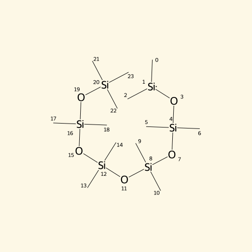 C[Si](C)O[Si](C)(C)O[Si](C)(C)O[Si](C)(C)O[Si](C)(C)O[Si](C)(C)C